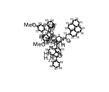 COc1ccc(C(OC[C@]23CN(C(=O)Cc4ccc5ccc6cccc7ccc4c5c67)[C@H]([C@H](n4cnc5c4N=CNC5(N)C(=O)c4ccccc4)O2)[C@H]3OP(OCCC#N)N(C(C)C)C(C)C)(c2ccccc2)c2ccc(OC)cc2)cc1